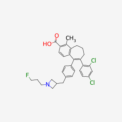 Cc1c(C(=O)O)ccc2c1CCCC(c1ccc(Cl)cc1Cl)=C2c1ccc(CC2CN(CCCF)C2)cc1